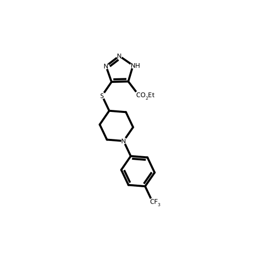 CCOC(=O)c1[nH]nnc1SC1CCN(c2ccc(C(F)(F)F)cc2)CC1